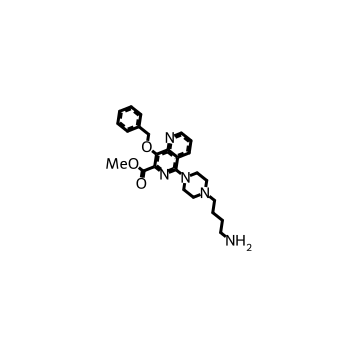 COC(=O)c1nc(N2CCN(CCCCN)CC2)c2cccnc2c1OCc1ccccc1